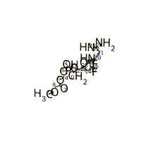 C=P(O)(OCOC(=O)COC)OC[C@@H]1CC(F)(F)[C@H](N/C=C\C(=N)N)O1